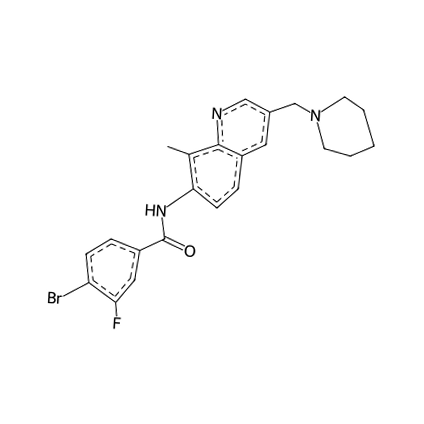 Cc1c(NC(=O)c2ccc(Br)c(F)c2)ccc2cc(CN3CCCCC3)cnc12